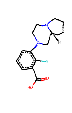 O=C(O)c1cccc(N2CCN3CCC[C@@H]3C2)c1F